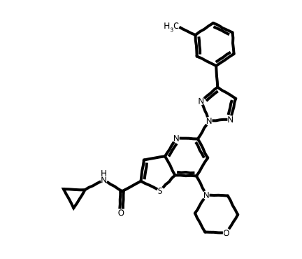 Cc1cccc(-c2cnn(-c3cc(N4CCOCC4)c4sc(C(=O)NC5CC5)cc4n3)n2)c1